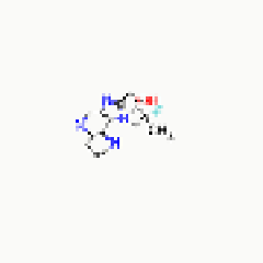 CC(C)(F)Cn1c(CO)nc2cnc3cccnc3c21